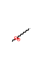 [CH2]CCCCCCCCC(=O)OCCC